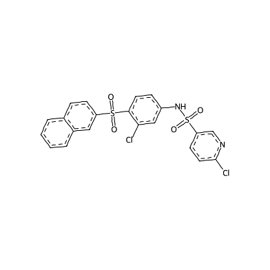 O=S(=O)(Nc1ccc(S(=O)(=O)c2ccc3ccccc3c2)c(Cl)c1)c1ccc(Cl)nc1